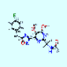 COc1nc(C(C)(C)NC(C)=O)nc(-c2noc(Cc3ccc(F)cc3)n2)c1OC